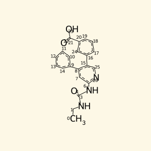 CCNC(=O)Nc1cc(-c2ccccc2)c(-c2cccc(C(=O)O)c2)cn1